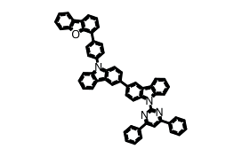 c1ccc(-c2cc(-c3ccccc3)nc(-n3c4ccccc4c4cc(-c5ccc6c(c5)c5ccccc5n6-c5ccc(-c6cccc7c6oc6ccccc67)cc5)ccc43)n2)cc1